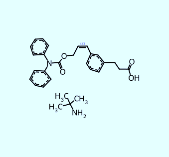 CC(C)(C)N.O=C(O)CCc1cccc(/C=C\COC(=O)N(c2ccccc2)c2ccccc2)c1